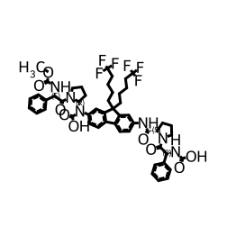 COC(=O)N[C@H](C(=O)N1CCC[C@H]1N(C(=O)O)c1ccc2c(c1)C(CCCCC(F)(F)F)(CCCCC(F)(F)F)c1cc(NC(=O)[C@@H]3CCCN3C(=O)[C@H](NC(=O)O)c3ccccc3)ccc1-2)c1ccccc1